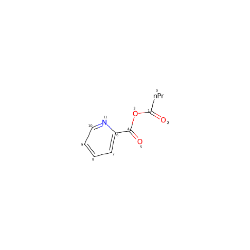 CCCC(=O)OC(=O)c1ccccn1